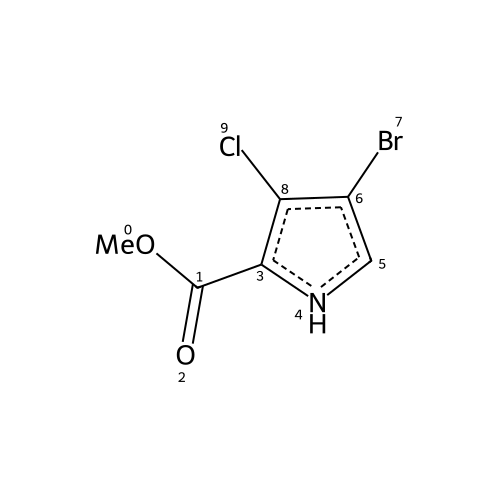 COC(=O)c1[nH]cc(Br)c1Cl